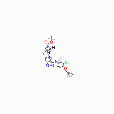 CC(C)(C)OC(=O)N1C[C@@H]2C[C@H]1CN2c1ccc2ncnc(Nc3ccc(OC[C@H]4CCCO4)c(Cl)c3F)c2n1